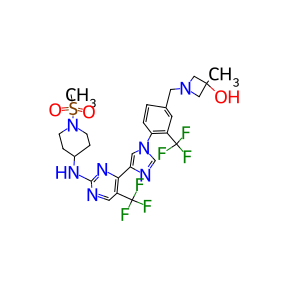 CC1(O)CN(Cc2ccc(-n3cnc(-c4nc(NC5CCN(S(C)(=O)=O)CC5)ncc4C(F)(F)F)c3)c(C(F)(F)F)c2)C1